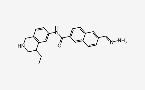 CCC1CNCc2ccc(NC(=O)c3ccc4cc(C=NN)ccc4c3)cc21